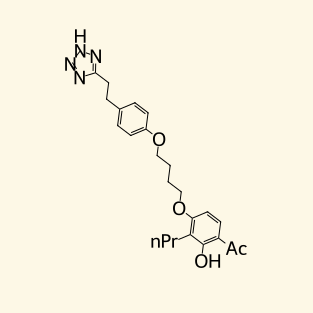 CCCc1c(OCCCCOc2ccc(CCc3nn[nH]n3)cc2)ccc(C(C)=O)c1O